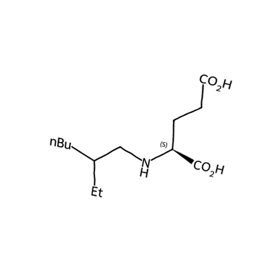 CCCCC(CC)CN[C@@H](CCC(=O)O)C(=O)O